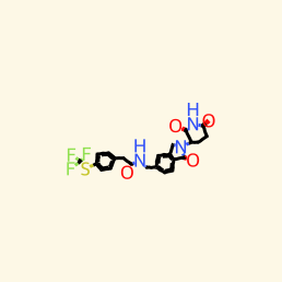 O=C(Cc1ccc(SC(F)(F)F)cc1)NCc1ccc2c(c1)CN(C1CCC(=O)NC1=O)C2=O